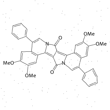 COc1cc2c(cc1OC)C1=C3C(=O)N4C=C(c5ccccc5)c5cc(OC)c(OC)cc5C4=C3C(=O)N1C=C2c1ccccc1